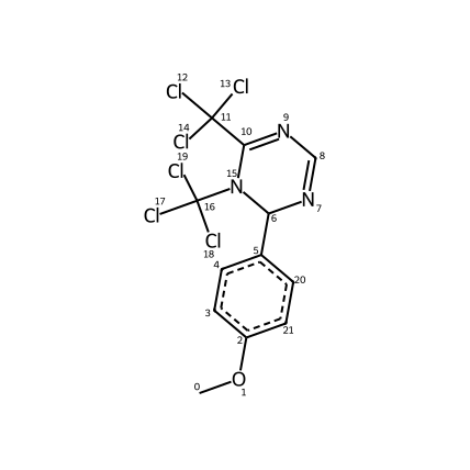 COc1ccc(C2N=CN=C(C(Cl)(Cl)Cl)N2C(Cl)(Cl)Cl)cc1